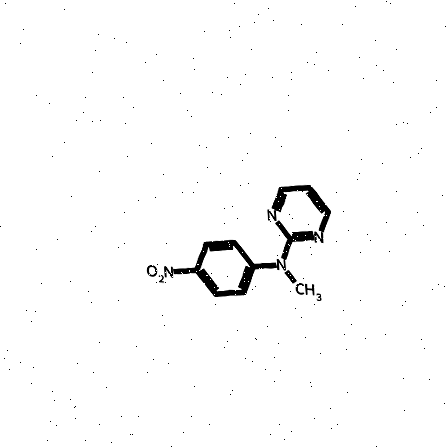 CN(c1ccc([N+](=O)[O-])cc1)c1ncccn1